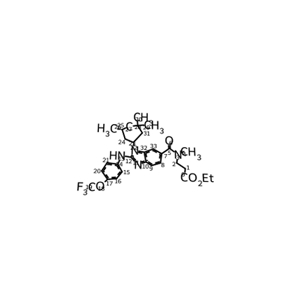 CCOC(=O)CCN(C)C(=O)c1ccc2nc(Nc3ccc(OC(F)(F)F)cc3)n([C@H]3C[C@@H](C)CC(C)(C)C3)c2c1